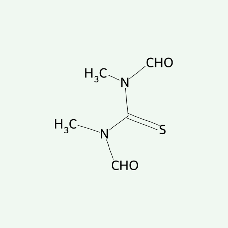 CN(C=O)C(=S)N(C)C=O